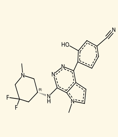 CN1C[C@H](Nc2nnc(-c3ccc(C#N)cc3O)c3ccn(C)c23)CC(F)(F)C1